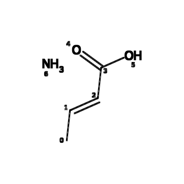 CC=CC(=O)O.N